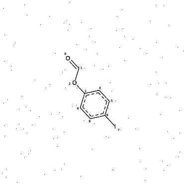 O=[C]Oc1ccc(I)cc1